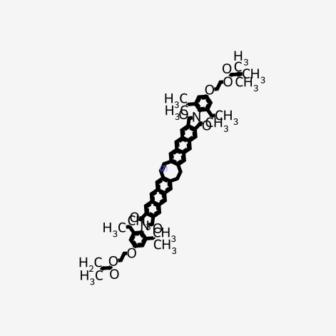 C=C(C)C(=O)OCCOc1cc(C(C)C)c(N2C(=O)c3cc4cc5cc6c(cc5cc4cc3C2=O)CCc2cc3cc4cc5c(cc4cc3cc2/C=C\6)C(=O)N(c2c(C(C)C)cc(OCCOC(=O)C(C)(C)C)cc2C(C)C)C5=O)c(C(C)C)c1